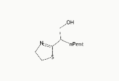 CCCCCC(CO)C1=NCCS1